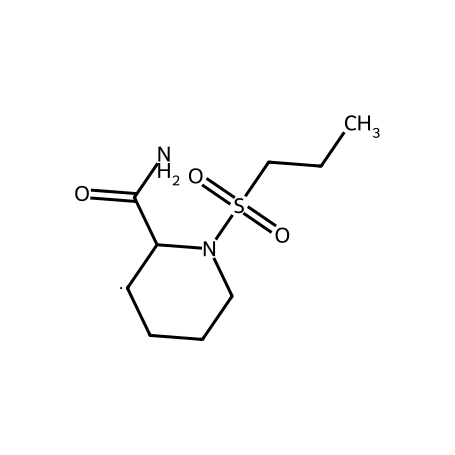 CCCS(=O)(=O)N1CCC[CH]C1C(N)=O